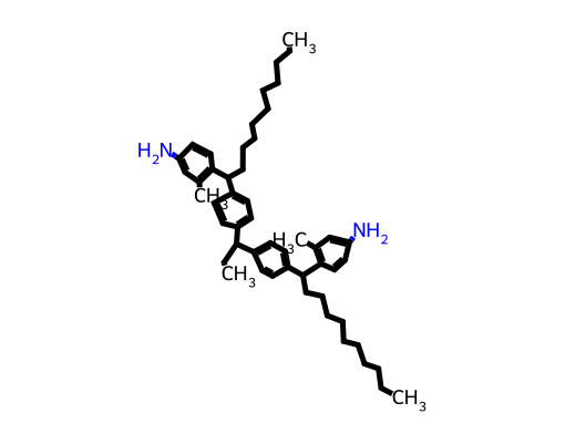 CCCCCCCCCCC(c1ccc(C(CC)c2ccc(C(CCCCCCCCCC)c3ccc(N)cc3C)cc2)cc1)c1ccc(N)cc1C